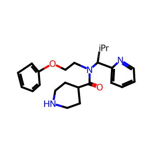 CC(C)C(c1ccccn1)N(CCOc1ccccc1)C(=O)C1CCNCC1